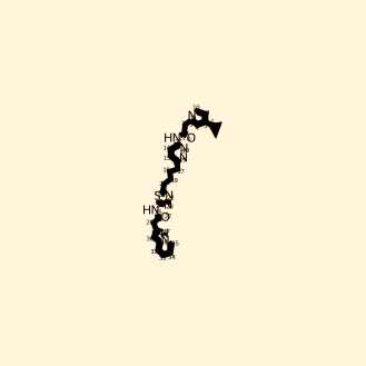 O=C(Cc1cc(C2CC2)ccn1)Nc1ccc(CCCCc2nnc(NC(=O)Cc3cc4ccccn4n3)s2)nn1